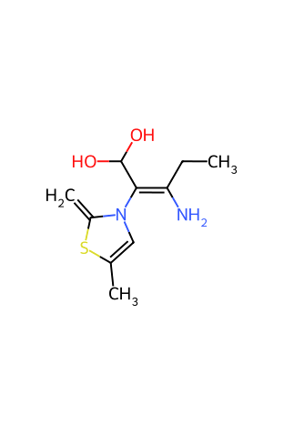 C=C1SC(C)=CN1/C(=C(\N)CC)C(O)O